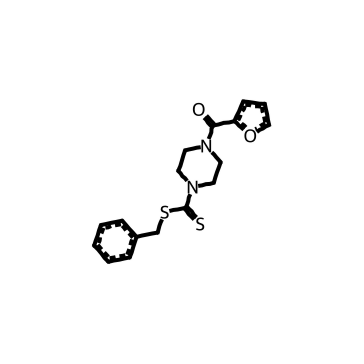 O=C(c1ccco1)N1CCN(C(=S)SCc2ccccc2)CC1